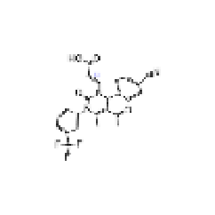 CC(=O)C1=C(C)N(c2cccc(C(F)(F)F)c2)C(=O)N(/C=C/C(=O)O)C1c1ccc(C#N)cc1